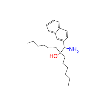 CCCCCCC(O)(CCCCCC)[C@H](N)c1ccc2ccccc2c1